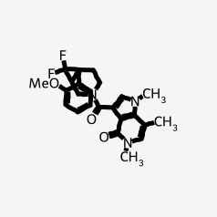 COc1ccccc1C12CCN(C(=O)c3cn(C)c4c(C)cn(C)c(=O)c34)CC1C2(F)F